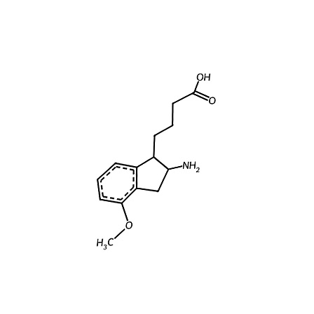 COc1cccc2c1CC(N)C2CCCC(=O)O